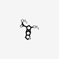 CC1CC(C2OC2C)C2C3CC(C4SCCC34)C12